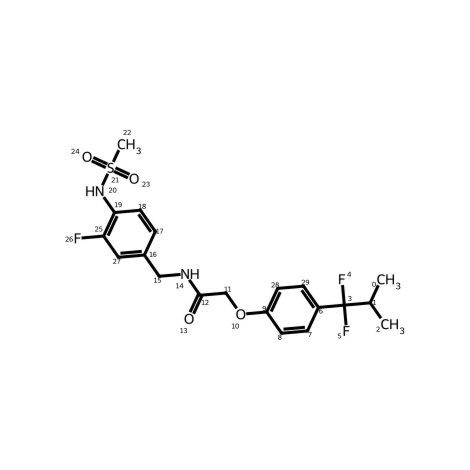 CC(C)C(F)(F)c1ccc(OCC(=O)NCc2ccc(NS(C)(=O)=O)c(F)c2)cc1